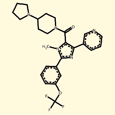 Cn1c(-c2cccc(OC(F)(F)F)c2)nc(-c2cccnc2)c1C(=O)N1CCC(N2CCCC2)CC1